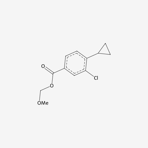 COCOC(=O)c1ccc(C2CC2)c(Cl)c1